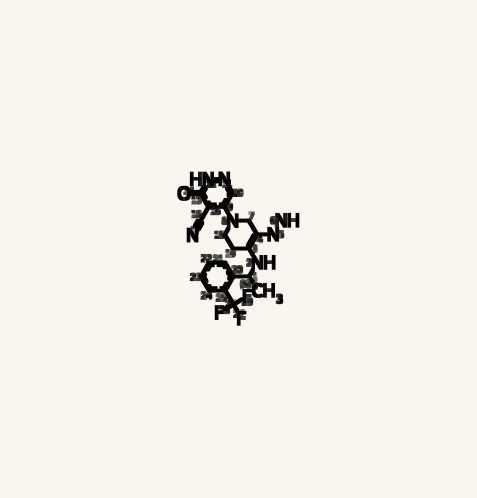 C[C@H](NC1=C(N=N)CN(c2cn[nH]c(=O)c2C#N)CC1)c1ccccc1C(F)(F)F